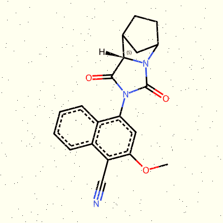 COc1cc(N2C(=O)[C@@H]3C4CCC(C4)N3C2=O)c2ccccc2c1C#N